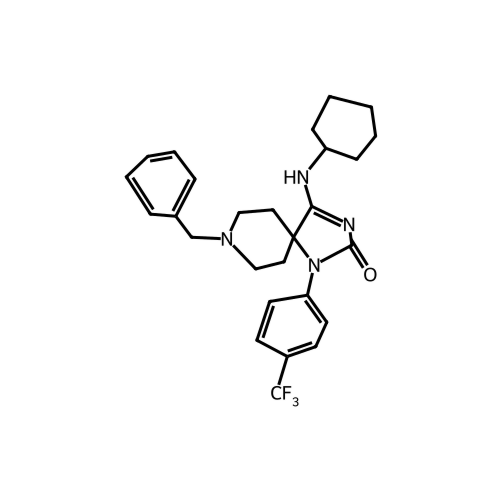 O=C1N=C(NC2CCCCC2)C2(CCN(Cc3ccccc3)CC2)N1c1ccc(C(F)(F)F)cc1